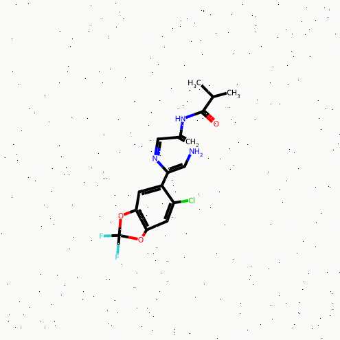 C=C(/C=N\C(=C/N)c1cc2c(cc1Cl)OC(F)(F)O2)NC(=O)C(C)C